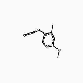 COc1ccc(N=C=S)c(C)c1